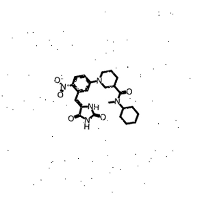 CN(C(=O)C1CCCN(c2ccc([N+](=O)[O-])c(C=C3NC(=O)NC3=O)c2)C1)C1CCCCC1